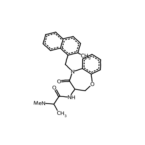 CNC(C)C(=O)NC1COc2ccccc2N(Cc2c(C)ccc3ccccc23)C1=O